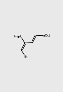 [CH2]CC=C(C=CCCCCCCCC)CCCCCCC